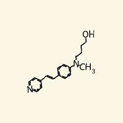 CN(CCCCO)c1ccc(C=Cc2ccncc2)cc1